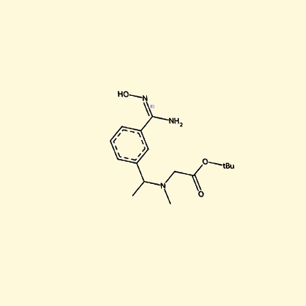 CC(c1cccc(/C(N)=N\O)c1)N(C)CC(=O)OC(C)(C)C